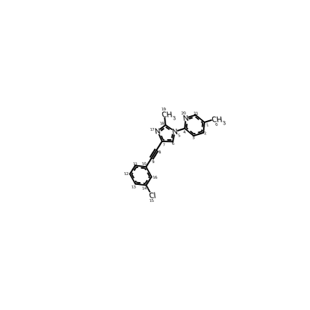 Cc1ccc(-n2cc(C#Cc3cccc(Cl)c3)nc2C)nc1